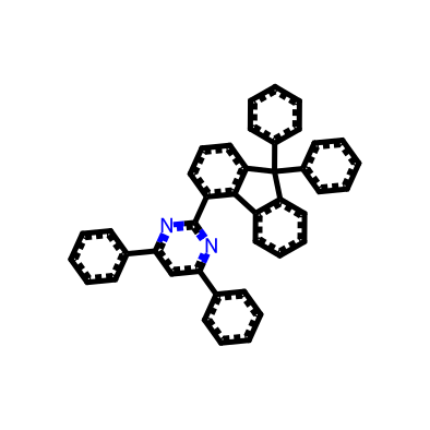 c1ccc(-c2cc(-c3ccccc3)nc(-c3cccc4c3-c3ccccc3C4(c3ccccc3)c3ccccc3)n2)cc1